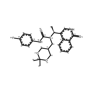 C[C@@H](c1c[nH]c(=O)c2ccccc12)N(CC1COC(C)(C)OC1)C(=O)Nc1ccc(F)cc1